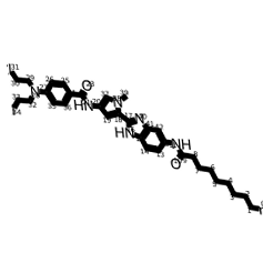 CCCCCCCCCCCCCCCCCCC(=O)Nc1ccc2[nH]c(-c3cc(NC(=O)c4ccc(N(CCCl)CCCl)cc4)cn3C)nc2c1